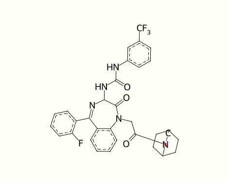 O=C(Nc1cccc(C(F)(F)F)c1)NC1N=C(c2ccccc2F)c2ccccc2N(CC(=O)N2CC3CCC(CC3)C2)C1=O